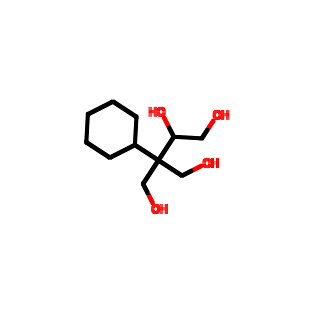 OCC(O)C(CO)(CO)C1CCCCC1